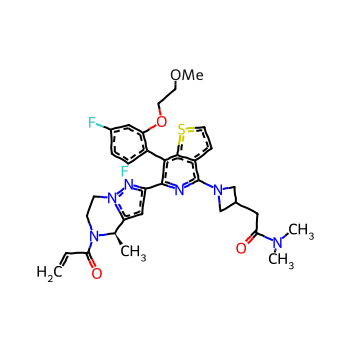 C=CC(=O)N1CCn2nc(-c3nc(N4CC(CC(=O)N(C)C)C4)c4ccsc4c3-c3c(F)cc(F)cc3OCCOC)cc2[C@H]1C